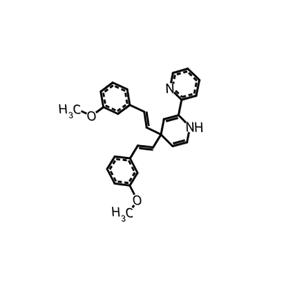 COc1cccc(/C=C/C2(/C=C/c3cccc(OC)c3)C=CNC(c3ccccn3)=C2)c1